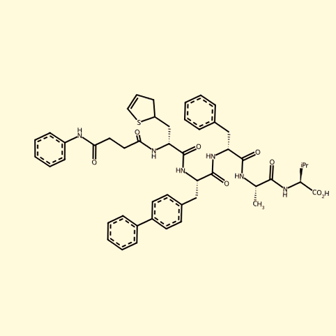 CC(C)[C@H](NC(=O)[C@H](C)NC(=O)[C@@H](Cc1ccccc1)NC(=O)[C@H](Cc1ccc(-c2ccccc2)cc1)NC(=O)[C@@H](CC1CC=CS1)NC(=O)CCC(=O)Nc1ccccc1)C(=O)O